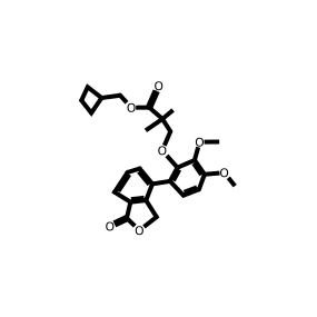 COc1ccc(-c2cccc3c2COC3=O)c(OCC(C)(C)C(=O)OCC2CCC2)c1OC